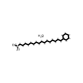 CCN(CC)CCCCCCCCCCCCCCCCC1CCCCC1.O